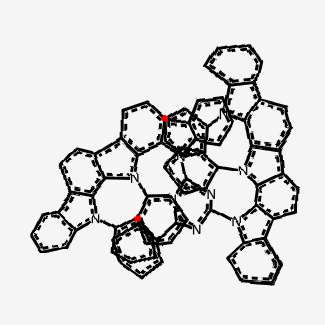 c1ccc(-c2nc(-n3c4ccccc4c4ccc5c6ccc7c8ccccc8n(-c8ccccc8)c7c6n(-c6ccccc6)c5c43)nc(-n3c4ccccc4c4ccc5c6ccc7c8ccccc8n(-c8ccccc8)c7c6n(-c6ccccc6)c5c43)n2)cc1